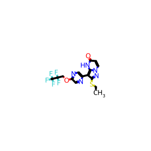 CCSc1nn2ccc(=O)[nH]c2c1-c1cnc(OCC(F)(F)C(F)(F)F)cn1